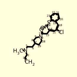 C=CCN(C)CCC1CCN(C(=O)C/C2=C/C(Cl)=C\c3ccccc3S[N+]2=O)CC1